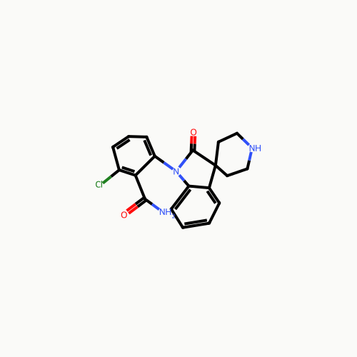 NC(=O)c1c(Cl)cccc1N1C(=O)C2(CCNCC2)c2ccccc21